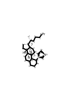 CC(C)CCC[C@@H](C)[C@H]1CC[C@H]2[C@@H]3CCC4CCCC(n5ccnc5)[C@]4(C)[C@H]3CC[C@]12C